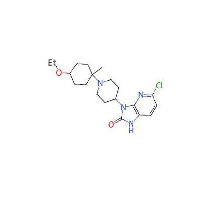 CCOC1CCC(C)(N2CCC(n3c(=O)[nH]c4ccc(Cl)nc43)CC2)CC1